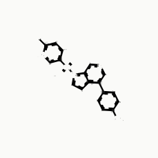 N#Cc1ccc(-c2cncc3c2ccn3S(=O)(=O)c2ccc(Cl)nc2)cc1